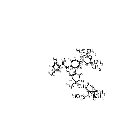 CC1(C)C2CC[C@@]1(CS(=O)(=O)O)C(=O)C2.CC1(C)CC=C(c2nc(C3CC(C)(C)OC(C)(C)C3)ccc2NC(=O)c2nc(C#N)c[nH]2)CC1